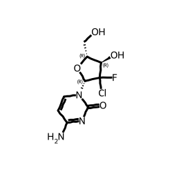 Nc1ccn([C@@H]2O[C@H](CO)[C@@H](O)C2(F)Cl)c(=O)n1